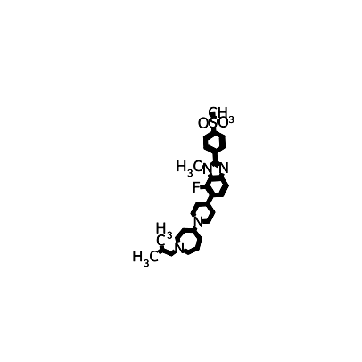 CC(C)CN1CCCC(N2CCC(c3ccc4nc(-c5ccc(S(C)(=O)=O)cc5)n(C)c4c3F)CC2)CC1